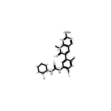 CNc1ncc2cc(-c3cc(NC(=O)N[C@@H]4CCCC[C@H]4C)c(F)cc3C)c(=O)n(C)c2n1